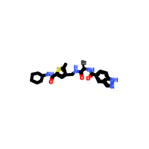 CC[C@@H](NC(=O)c1ccc2[nH]ncc2c1)C(=O)NCc1cc(C(=O)NC2CCCCC2)sc1C